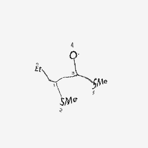 CCC(SC)C([O])SC